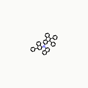 c1ccc(-c2ccc(N(c3ccc4c(c3)c(-c3ccccc3)c(-c3ccccc3)c3ccccc34)c3cccc4ccccc34)c3ccccc23)cc1